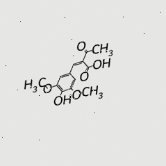 COc1cc(C=C(C(C)=O)C(=O)O)cc(OC)c1O